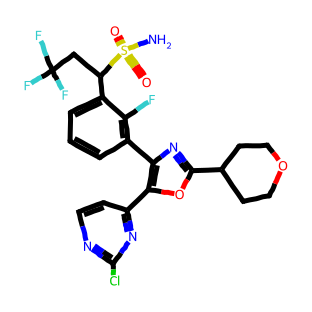 NS(=O)(=O)C(CC(F)(F)F)c1cccc(-c2nc(C3CCOCC3)oc2-c2ccnc(Cl)n2)c1F